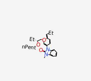 C\C=C(/C=C\C(=C/CC)OC[C@@H](CC)OCCCCC)n1c(=O)n(C)c2ccccc21